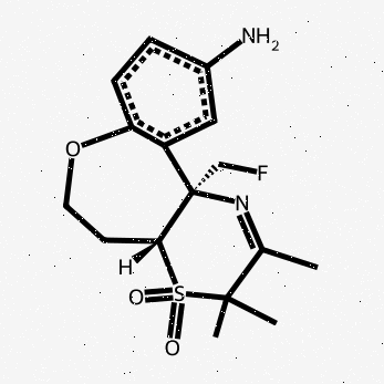 CC1=N[C@]2(CF)c3cc(N)ccc3OCC[C@H]2S(=O)(=O)C1(C)C